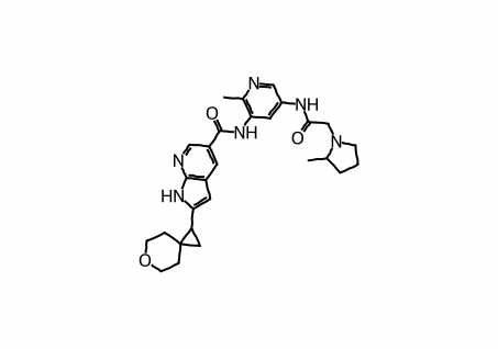 Cc1ncc(NC(=O)CN2CCCC2C)cc1NC(=O)c1cnc2[nH]c(C3CC34CCOCC4)cc2c1